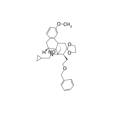 COc1ccc2c(c1)[C@]13CCN(CC4CC4)[C@H](C2)[C@]1(O)C[C@H](CCOCc1ccccc1)C1(C3)OCCO1